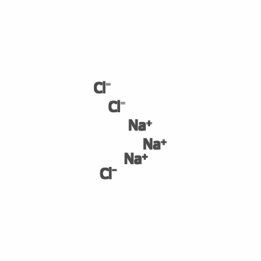 [Cl-].[Cl-].[Cl-].[Na+].[Na+].[Na+]